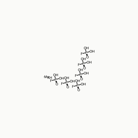 O=P(O)(O)F.O=P(O)(O)F.O=P(O)(O)F.O=P(O)(O)F.O=P(O)(O)F.O=P(O)(O)F.[KH].[Mn]